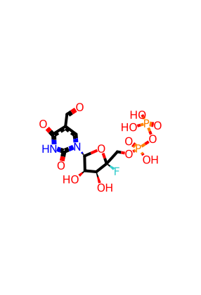 O=Cc1cn([C@@H]2O[C@](F)(COP(=O)(O)OP(=O)(O)O)[C@@H](O)[C@H]2O)c(=O)[nH]c1=O